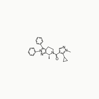 C[C@H]1c2nn(-c3ccccc3)c(-c3ccccc3)c2CCN1C(=O)c1cnn(C)c1C1CC1